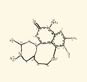 Cc1nc2c3c(nc(=O)n2C)N2CC(C)N(C)CC2CCOc3c1Cl